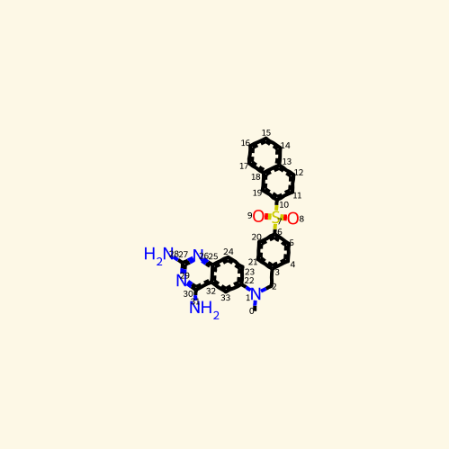 CN(Cc1ccc(S(=O)(=O)c2ccc3ccccc3c2)cc1)c1ccc2nc(N)nc(N)c2c1